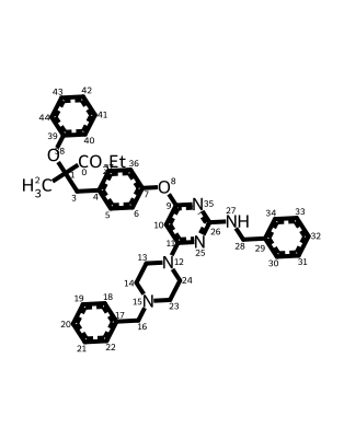 CCOC(=O)C(C)(Cc1ccc(Oc2cc(N3CCN(Cc4ccccc4)CC3)nc(NCc3ccccc3)n2)cc1)Oc1ccccc1